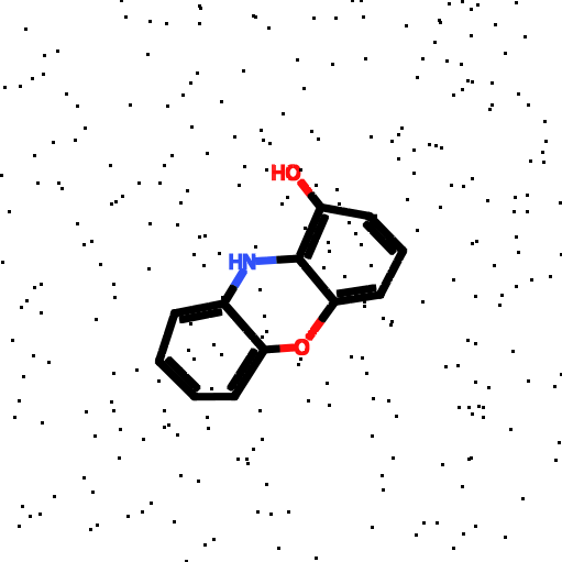 Oc1[c]ccc2c1Nc1ccccc1O2